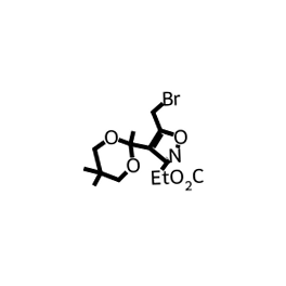 CCOC(=O)c1noc(CBr)c1C1(C)OCC(C)(C)CO1